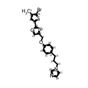 Cc1cc(-c2nc(COc3ccc(CCCn4ccnc4)cc3)co2)sc1Br